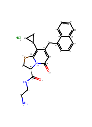 Cl.NCCNC(=O)[C@@H]1CSc2c(C3CC3)c(Cc3cccc4ccccc34)cc(=O)n21